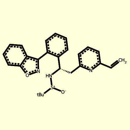 C=Cc1cccc(C[C@H](N[S+]([O-])C(C)(C)C)c2ccccc2-c2noc3ccccc23)n1